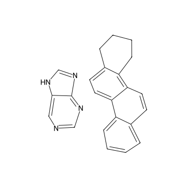 c1ccc2c(c1)ccc1c3c(ccc12)CCCC3.c1ncc2[nH]cnc2n1